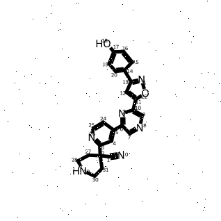 N#CC1(c2cc(-c3cncc(-c4cc(-c5ccc(O)cc5)no4)n3)ccn2)CCNCC1